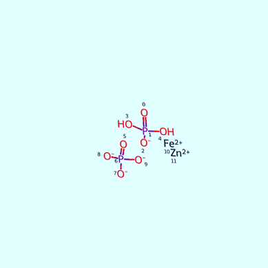 O=P([O-])(O)O.O=P([O-])([O-])[O-].[Fe+2].[Zn+2]